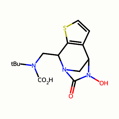 CC(C)(C)N(CC1c2sccc2C2CN1C(=O)N2O)C(=O)O